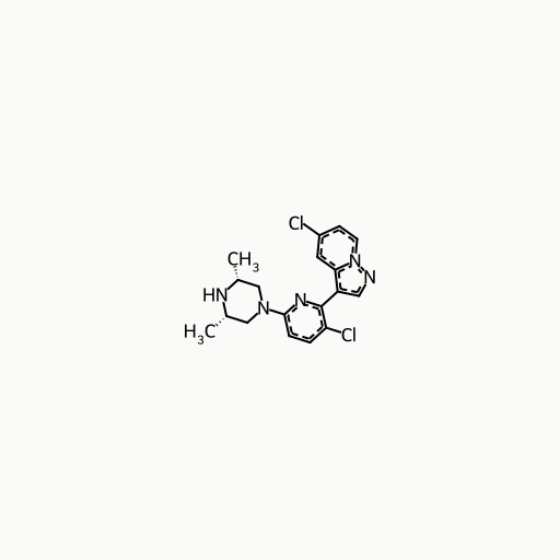 C[C@@H]1CN(c2ccc(Cl)c(-c3cnn4ccc(Cl)cc34)n2)C[C@H](C)N1